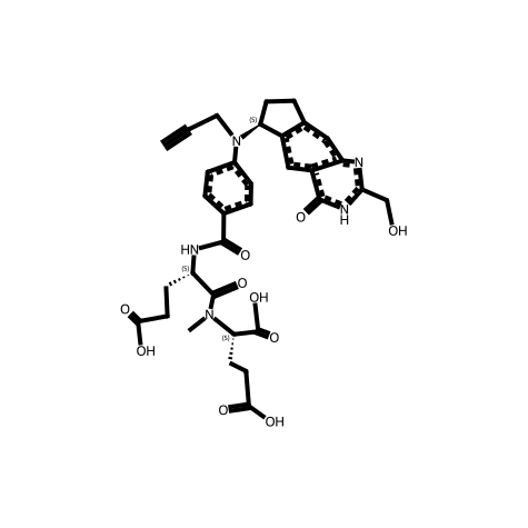 C#CCN(c1ccc(C(=O)N[C@@H](CCC(=O)O)C(=O)N(C)[C@@H](CCC(=O)O)C(=O)O)cc1)[C@H]1CCc2cc3nc(CO)[nH]c(=O)c3cc21